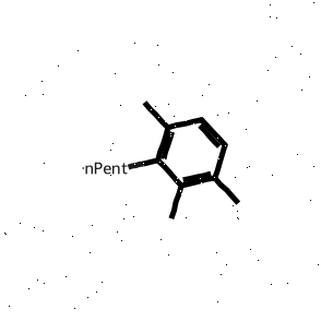 CCCC[CH]c1c(C)ccc(C)c1C